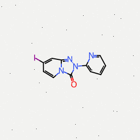 O=c1n(-c2ccccn2)nc2cc(I)ccn12